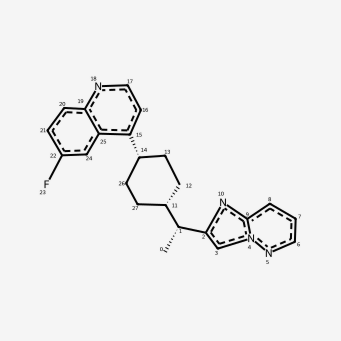 C[C@@H](c1cn2ncccc2n1)[C@H]1CC[C@@H](c2ccnc3ccc(F)cc32)CC1